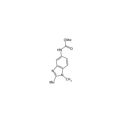 COC(=O)Nc1ccc2c(c1)nc(C(C)(C)C)n2C